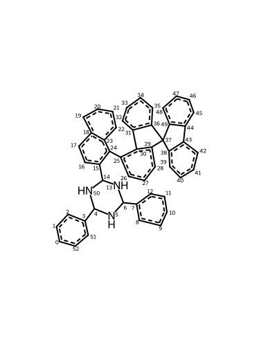 c1ccc(C2NC(c3ccccc3)NC(c3ccc4ccccc4c3-c3cccc4c3-c3ccccc3C43c4ccccc4-c4ccccc43)N2)cc1